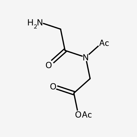 CC(=O)OC(=O)CN(C(C)=O)C(=O)CN